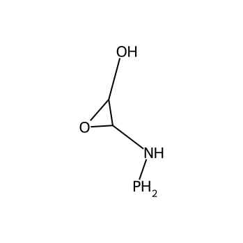 OC1OC1NP